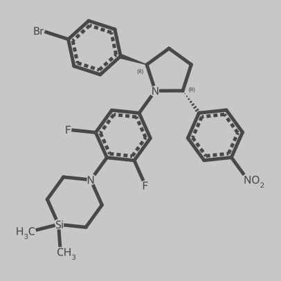 C[Si]1(C)CCN(c2c(F)cc(N3[C@@H](c4ccc(Br)cc4)CC[C@@H]3c3ccc([N+](=O)[O-])cc3)cc2F)CC1